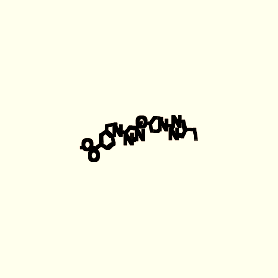 CCc1cnc(N2CCC(Oc3cc(N4CCc5cc(C(=O)OC)ccc54)ncn3)CC2)nc1